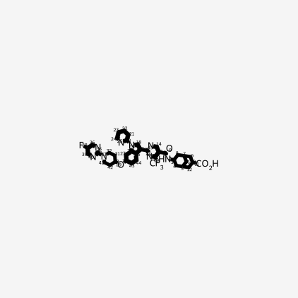 O=C(NC1CC2CC(C1)CC(C(=O)O)C2)c1cnc(-c2cn(-c3ccccn3)c3cc(OC4CCN(c5ncc(F)cn5)CC4)ccc23)nc1C(F)(F)F